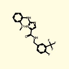 COc1ccccc1Nc1ncc(C(=O)NCc2ccc(F)c(C(F)(F)F)c2)[nH]1